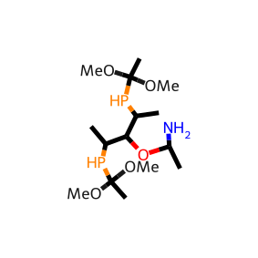 COC(C)(OC)PC(C)C(OC(C)N)C(C)PC(C)(OC)OC